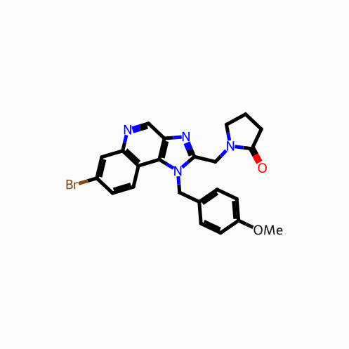 COc1ccc(Cn2c(CN3CCCC3=O)nc3cnc4cc(Br)ccc4c32)cc1